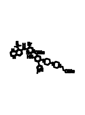 COCCN1CCN(C2CCN(c3cc(OC)c(Nc4ncc(Br)c(Nc5ccc6nccnc6c5P(C)(C)=S)n4)cc3-c3cnn(C)c3)CC2)CC1